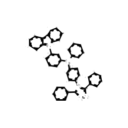 c1ccc(-c2nnc(-c3ccccc3)n2-c2ccc(N(c3ccccc3)c3cccc(-n4c5ccccc5c5ccccc54)c3)cc2)cc1